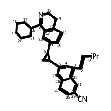 CC(C)C=Cc1cc(C2CC2c2ccc3c(c2)C(C2CCCCC2)=NCC3)cc2ccc(C#N)cc12